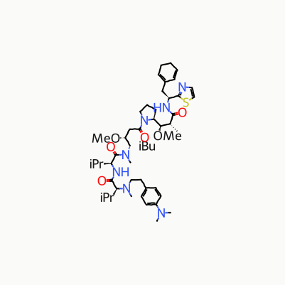 CC[C@H](C)[C@@H]([C@@H](CC(=O)N1CCC[C@H]1[C@H](OC)[C@@H](C)C(=O)N[C@@H](CC1=CCCC=C1)c1nccs1)OC)N(C)C(=O)[C@@H](NC(=O)[C@H](C(C)C)N(C)CCc1ccc(N(C)C)cc1)C(C)C